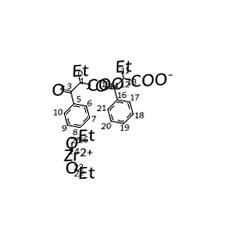 CCC(C(=O)[O-])C(=O)c1ccccc1.CCC(C(=O)[O-])C(=O)c1ccccc1.CC[O][Zr+2][O]CC